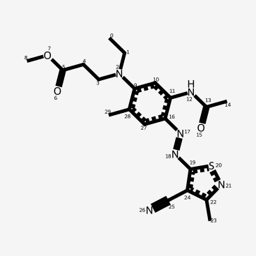 CCN(CCC(=O)OC)c1cc(NC(C)=O)c(N=Nc2snc(C)c2C#N)cc1C